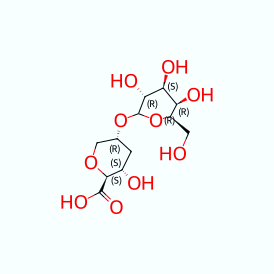 O=C(O)[C@H]1OC[C@H](OC2O[C@H](CO)[C@H](O)[C@H](O)[C@H]2O)C[C@@H]1O